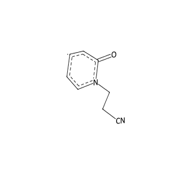 N#CCCn1cc[c]cc1=O